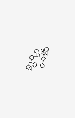 c1ccc(-c2ccc(-c3nc4ccccc4nc3-c3ccc(-c4cccc(-c5cc6cccnc6c6ccccc56)c4)c4ccccc34)cc2)cc1